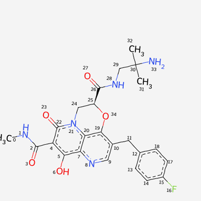 CNC(=O)c1c(O)c2ncc(Cc3ccc(F)cc3)c3c2n(c1=O)C[C@@H](C(=O)NCC(C)(C)N)O3